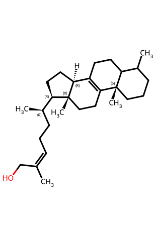 CC(=CCC[C@@H](C)[C@H]1CC[C@H]2C3=C(CC[C@]12C)[C@@]1(C)CCCC(C)C1CC3)CO